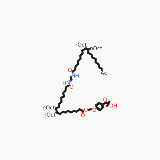 CCCCCCCCC(CCCCCCCCC(C)=O)C(CCCCCCCC)CCCCCCCCC(=O)NCCNC(=O)CCCCCCCCC(CCCCCCCC)C(CCCCCCCC)CCCCCCCCC(=O)OCCOc1ccc(C(=O)C(C)(C)O)cc1